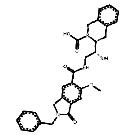 COc1cc2c(cc1C(=O)NC[C@@H](O)[C@@H]1Cc3ccccc3CN1C(=O)O)CN(Cc1ccccc1)C2=O